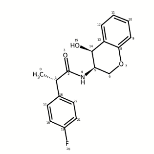 C[C@H](C(=O)N[C@@H]1COc2ccccc2[C@@H]1O)c1ccc(F)cc1